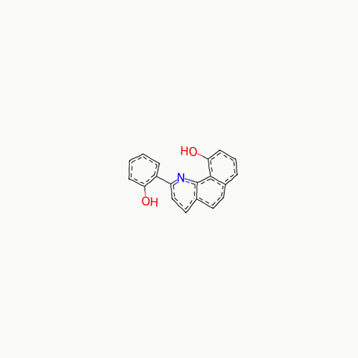 Oc1ccccc1-c1ccc2ccc3cccc(O)c3c2n1